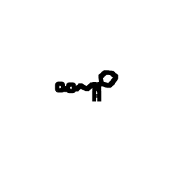 O=COCCCCNC1CCCCCC1